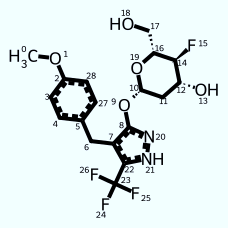 COc1ccc(Cc2c(O[C@H]3C[C@@H](O)[C@H](F)[C@@H](CO)O3)n[nH]c2C(F)(F)F)cc1